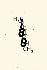 C/C=C/CCc1cc2ccc([C@@H]3CC[C@@H]4CC(C)CCC4C3)c(F)c2c(F)c1F